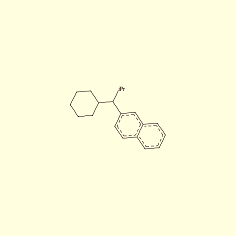 CC(C)C(c1ccc2ccccc2c1)C1CCCCC1